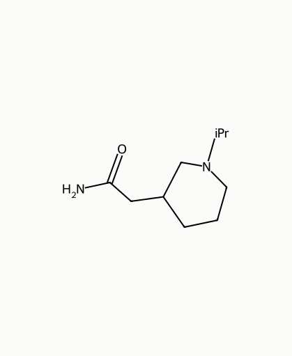 CC(C)N1CCCC(CC(N)=O)C1